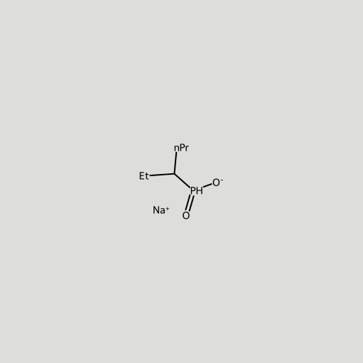 CCCC(CC)[PH](=O)[O-].[Na+]